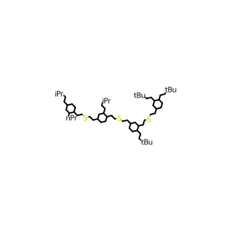 CCCC1CC(CCC(C)C)CCC1CCSCCC1CCC(CCSCCC2CCC(CCC(C)(C)C)C(CCSCCC3CCC(CCC(C)(C)C)C(CCC(C)(C)C)C3)C2)C(CCC(C)C)C1